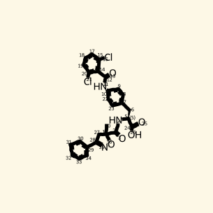 CC1(C(=O)N[C@@H](Cc2ccc(NC(=O)c3c(Cl)cccc3Cl)cc2)C(=O)O)CC(c2ccccc2)=NO1